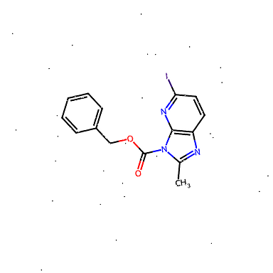 Cc1nc2ccc(I)nc2n1C(=O)OCc1ccccc1